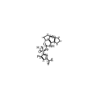 N[S@@](=O)(=NC(=O)Nc1c2c(nc3c1CCC3)CCC2)c1nn(C(F)F)cc1F